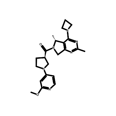 COc1cc(N2CC[C@@H](C(=O)N3Cc4nc(C)nc(N5CCC5)c4[C@H]3C)C2)ccn1